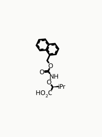 CC(C)[C@H](ONC(=O)OCc1cccc2ccccc12)C(=O)O